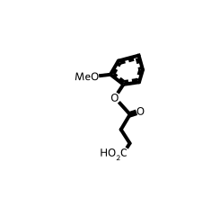 COc1ccccc1OC(=O)CCC(=O)O